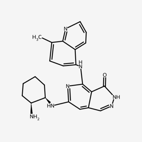 Cc1ccc(Nc2nc(N[C@@H]3CCCC[C@@H]3N)cc3cn[nH]c(=O)c23)c2cccnc12